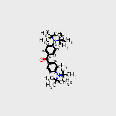 CC(C)(C)N(c1ccc(C(=O)c2ccc(N(C(C)(C)C)C(C)(C)C)cc2)cc1)C(C)(C)C